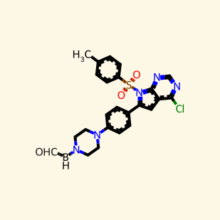 Cc1ccc(S(=O)(=O)n2c(-c3ccc(N4CCN(BC=O)CC4)cc3)cc3c(Cl)ncnc32)cc1